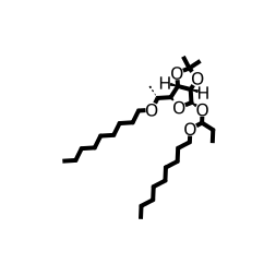 CCCCCCCCCOC(CC)O[C@H]1O[C@H]([C@@H](C)OCCCCCCCCC)[C@@H]2OC(C)(C)O[C@H]12